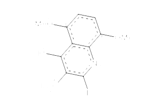 CCc1nc2c(OC)ccc(OC)c2c(CC)c1C(=O)O